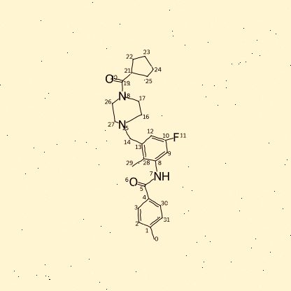 Cc1ccc(C(=O)Nc2cc(F)cc(CN3CCN(C(=O)C4CCCC4)CC3)c2C)cc1